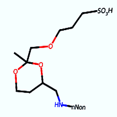 CCCCCCCCCNCC1CCOC(C)(COCCCS(=O)(=O)O)O1